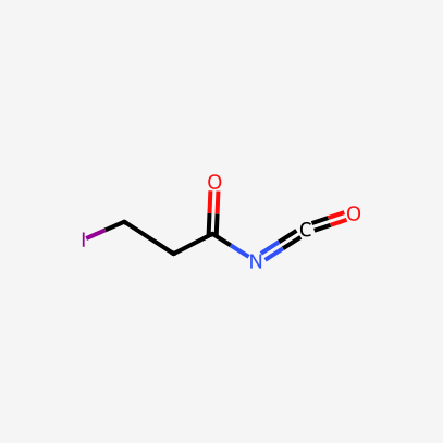 O=C=NC(=O)CCI